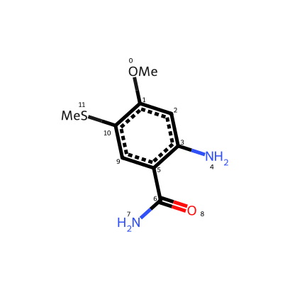 COc1cc(N)c(C(N)=O)cc1SC